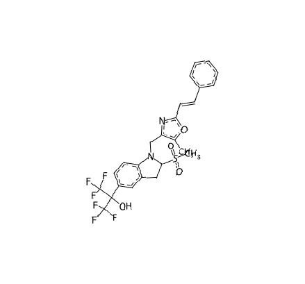 Cc1oc(C=Cc2ccccc2)nc1CN1c2ccc(C(O)(C(F)(F)F)C(F)(F)F)cc2CC1S(C)(=O)=O